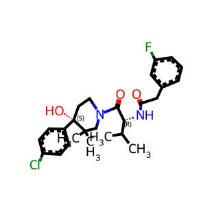 CC(C)[C@@H](NC(=O)Cc1cccc(F)c1)C(=O)N1CC[C@](O)(c2ccc(Cl)cc2)C(C)(C)C1